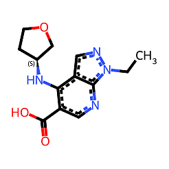 CCn1ncc2c(N[C@H]3CCOC3)c(C(=O)O)cnc21